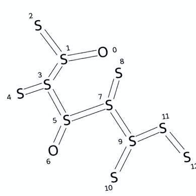 O=S(=S)=S(=S)=S(=O)=S(=S)=S(=S)=S=S